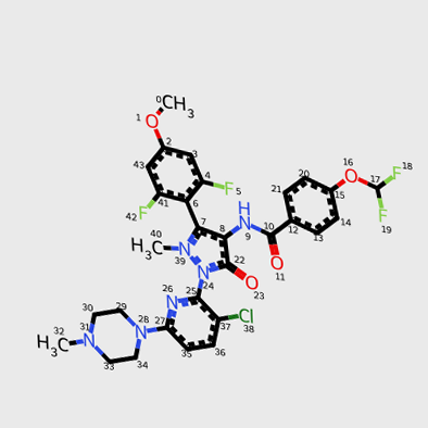 COc1cc(F)c(-c2c(NC(=O)c3ccc(OC(F)F)cc3)c(=O)n(-c3nc(N4CCN(C)CC4)ccc3Cl)n2C)c(F)c1